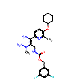 Cc1nc(/C(N)=C(\CNC(=O)OCc2cc(F)cc(F)c2)N(C)N)ccc1OC1CCCCC1